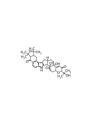 CC1(C)OC(C)(C)C2C(=O)c3ccc4[nH]c5c(c4c3CC21)C[C@@H]1CC[C@@]2(O)C3=CC(=O)[C@@H](C(C)(C)O)OC3CC[C@]2(C)[C@@]51C